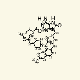 CCCCOc1nc(N)c2[nH]c(=O)n(CCCN(Cc3ccc(CC(=O)OC)cc3)C(=O)CN3CCC(CC(=O)OCC)CC3)c2n1